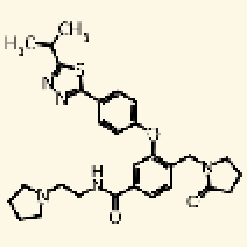 CC(C)c1nnc(-c2ccc(Oc3cc(C(=O)NCCN4CCCC4)ccc3CN3CCCC3=O)cc2)s1